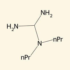 CCCN(CCC)C(N)N